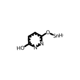 Oc1ccc([O][SnH])nn1